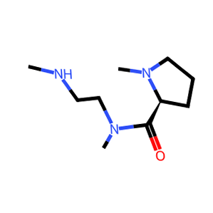 CNCCN(C)C(=O)[C@@H]1CCCN1C